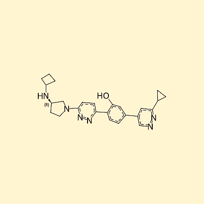 Oc1cc(-c2cnnc(C3CC3)c2)ccc1-c1ccc(N2CC[C@@H](NC3CCC3)C2)nn1